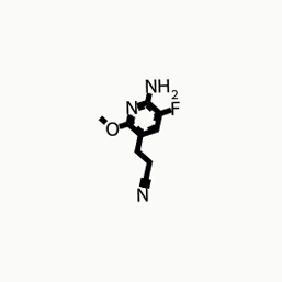 COc1nc(N)c(F)cc1CCC#N